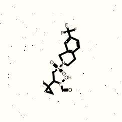 O=CN(O)C(CS(=O)(=O)N1CCc2ccc(C(F)(F)F)cc2C1)C1(I)CC1